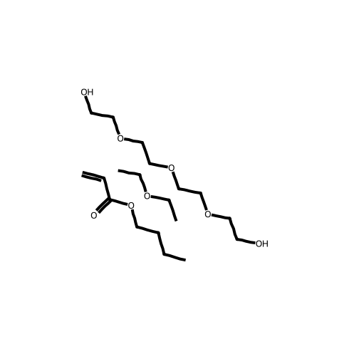 C=CC(=O)OCCCC.CCOCC.OCCOCCOCCOCCO